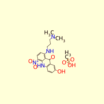 CN(C)CCCNc1ccc([N+](=O)[O-])c2[nH]c3ccc(O)cc3c(=O)c12.CS(=O)(=O)O